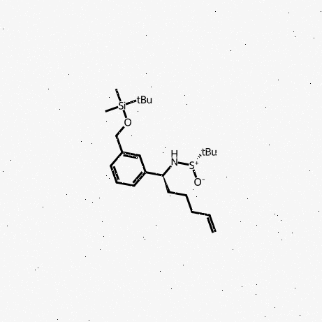 C=CCCC[C@H](N[S@@+]([O-])C(C)(C)C)c1cccc(CO[Si](C)(C)C(C)(C)C)c1